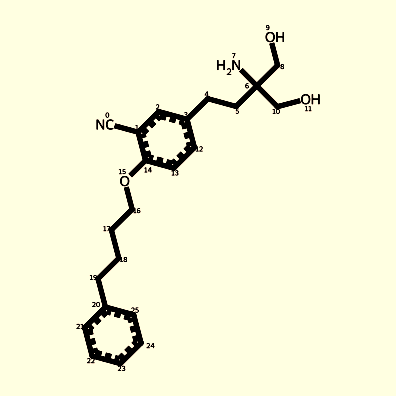 N#Cc1cc(CCC(N)(CO)CO)ccc1OCCCCc1ccccc1